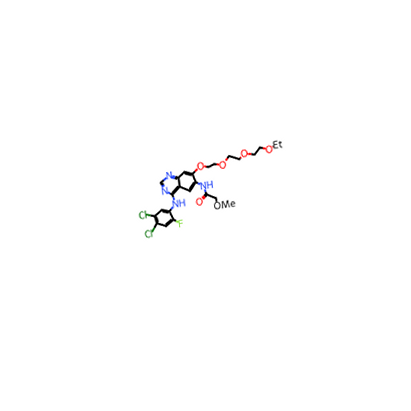 CCOCCOCCOCCOc1cc2ncnc(Nc3cc(Cl)c(Cl)cc3F)c2cc1NC(=O)COC